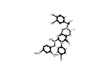 COc1ccc(CN(c2nc3c(c(=O)n2-c2ccc(Br)cc2)C[C@@H](C)N(C(=O)c2ccc(Cl)c(Cl)c2)C3)C(C)C)c(OC)c1